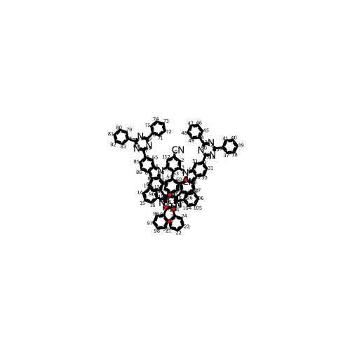 N#Cc1cc(-n2c3cc(-c4nc(-c5ccccc5)nc(-c5ccccc5)n4)ccc3c3ccc(-c4nc(-c5ccccc5)nc(-c5ccccc5)n4)cc32)c(-c2ccc(C(F)(F)F)cc2C#N)c(-n2c3cc(-c4nc(-c5ccccc5)nc(-c5ccccc5)n4)ccc3c3ccc(-c4nc(-c5ccccc5)nc(-c5ccccc5)n4)cc32)c1